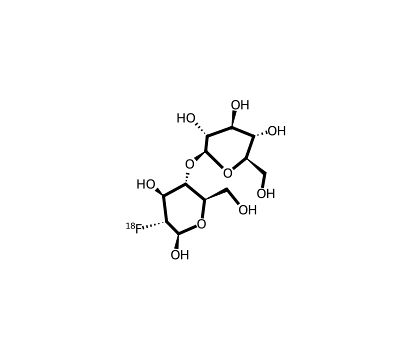 OC[C@H]1O[C@@H](O[C@H]2[C@H](O)[C@@H]([18F])[C@H](O)O[C@@H]2CO)[C@H](O)[C@@H](O)[C@@H]1O